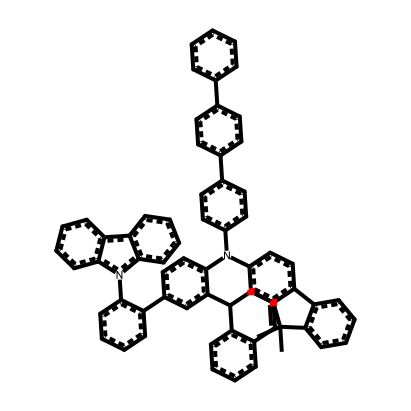 CC1(C)c2ccccc2-c2ccc(N(c3ccc(-c4ccc(-c5ccccc5)cc4)cc3)c3ccc(-c4ccccc4-n4c5ccccc5c5ccccc54)cc3C3CC=Cc4ccccc43)cc21